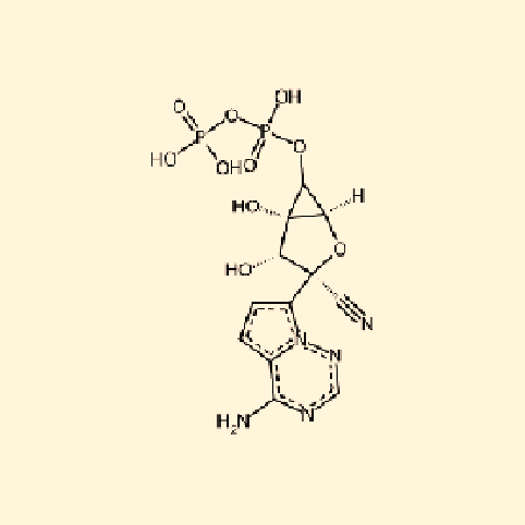 N#C[C@@]1(c2ccc3c(N)ncnn23)O[C@@H]2C(OP(=O)(O)OP(=O)(O)O)[C@]2(O)[C@H]1O